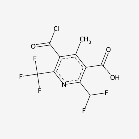 Cc1c(C(=O)O)c(C(F)F)nc(C(F)(F)F)c1C(=O)Cl